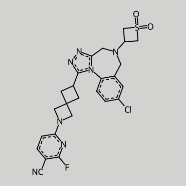 N#Cc1ccc(N2CC3(CC(c4nnc5n4-c4ccc(Cl)cc4CN(C4CS(=O)(=O)C4)C5)C3)C2)nc1F